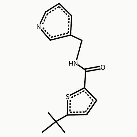 CC(C)(C)c1ccc(C(=O)NCc2cccnc2)s1